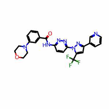 O=C(Nc1ccc(-n2nc(-c3cccnc3)cc2C(F)(F)F)nn1)c1cccc(N2CCOCC2)c1